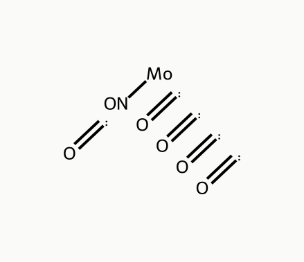 O=[N][Mo].[C]=O.[C]=O.[C]=O.[C]=O.[C]=O